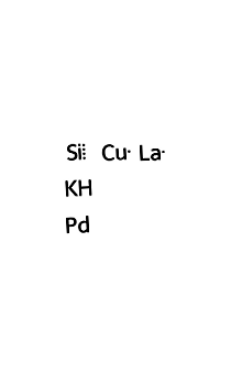 [Cu].[KH].[La].[Pd].[Si]